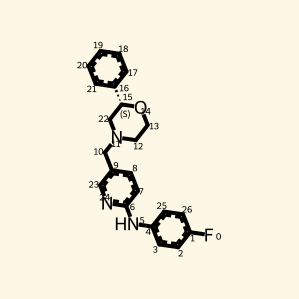 Fc1ccc(Nc2ccc(CN3CCO[C@@H](c4ccccc4)C3)cn2)cc1